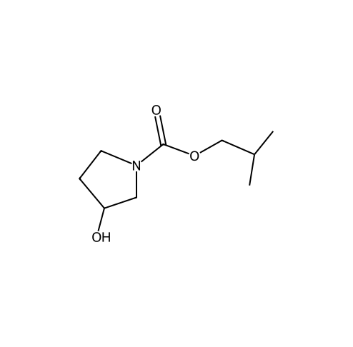 CC(C)COC(=O)N1CCC(O)C1